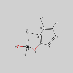 Cc1ccc(O[Si](C)(C)[O])c(C(C)C)c1C